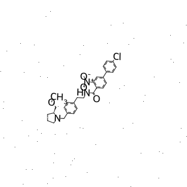 COC[C@@H]1CCCN1Cc1ccc(CCNC(=O)c2ccc(-c3ccc(Cl)cc3)cc2[N+](=O)[O-])cc1